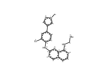 CCc1cc(-c2cnn(C)c2)ccc1Nc1ncc2ccnc(NCC(C)(C)C)c2n1